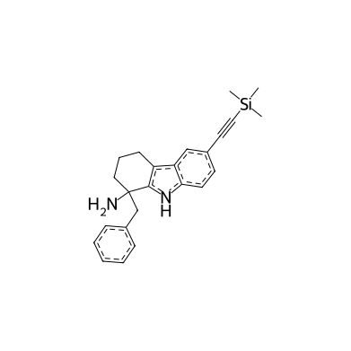 C[Si](C)(C)C#Cc1ccc2[nH]c3c(c2c1)CCCC3(N)Cc1ccccc1